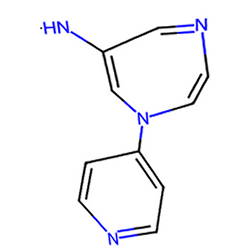 [NH]C1=CN(c2ccncc2)C=CN=C1